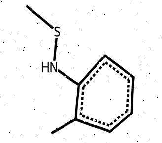 CSNc1ccccc1C